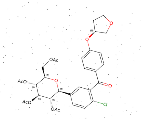 CC(=O)OC[C@H]1O[C@@H](c2ccc(Cl)c(C(=O)c3ccc(O[C@H]4CCOC4)cc3)c2)[C@H](OC(C)=O)[C@@H](OC(C)=O)[C@@H]1OC(C)=O